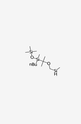 CCCC[Si](C)(O[Si](C)(C)C)C(C)(C)OC[SiH](C)C